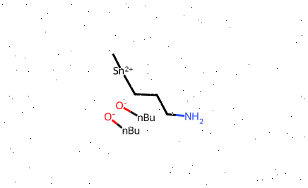 CCCC[O-].CCCC[O-].[CH3][Sn+2][CH2]CCN